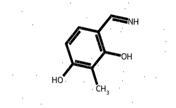 Cc1c(O)ccc(C=N)c1O